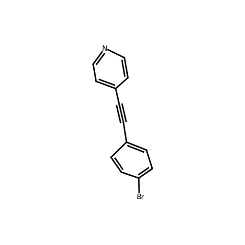 Brc1ccc(C#Cc2ccncc2)cc1